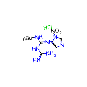 CCCCNC(=N)NC(=N)N.Cl.O=[N+]([O-])n1ccnc1